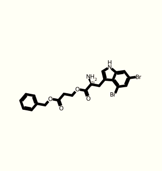 N[C@@H](Cc1c[nH]c2cc(Br)cc(Br)c12)C(=O)OCCC(=O)OCc1ccccc1